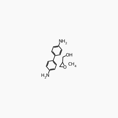 C.Nc1ccc(-c2ccc(N)cc2)cc1.OCC1CO1